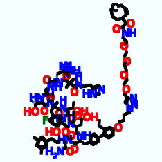 CCc1cc(OCCCCn2cc(COCCOCCOCCOCCNC(=O)C(=O)C3C#CCCCCC3)nn2)ccc1-c1ccc(C[C@H](NC(=O)[C@H](CC(=O)O)NC(=O)[C@H](CO)NC(=O)[C@@H](NC(=O)C(C)(Cc2ccccc2F)NC(=O)[C@@H](NC(=O)CNC(=O)[C@H](Cc2nn[nH]n2)NC(=O)C(C)(C)C(=O)NCCc2cnc[nH]2)[C@@H](C)O)[C@@H](C)O)C(=O)N[C@@H](CCCc2cc(C)cc(C)c2)C(N)=O)cc1